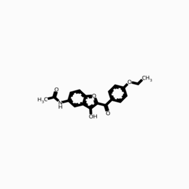 CCOc1ccc(C(=O)c2oc3ccc(NC(C)=O)cc3c2O)cc1